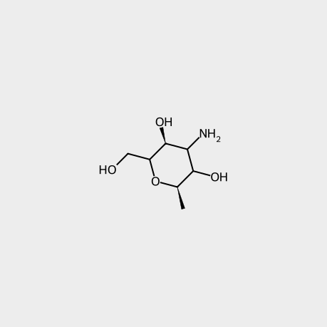 C[C@H]1OC(CO)[C@@H](O)C(N)C1O